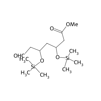 COC(=O)CC(CC(CC=O)O[Si](C)(C)C)O[Si](C)(C)C